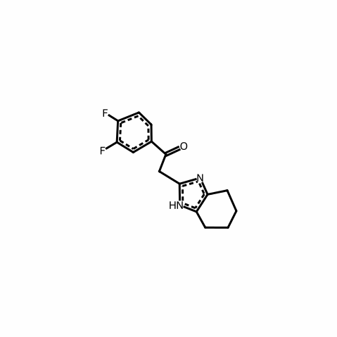 O=C(Cc1nc2c([nH]1)CCCC2)c1ccc(F)c(F)c1